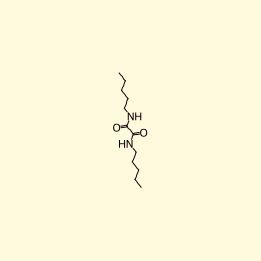 CCCCCNC(=O)C(=O)NCCCCC